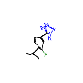 CC(C)c1ccc(-c2nnn[nH]2)cc1F